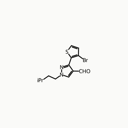 CC(C)CCn1cc(C=O)c(-c2sccc2Br)n1